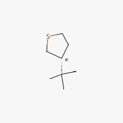 CC(C)(C)[C@H]1CCSC1